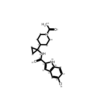 CC(=O)N1CCC(C2(NC(=O)c3cc4cc(Cl)ccc4[nH]3)CC2)CC1